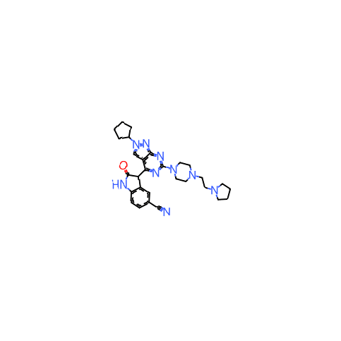 N#Cc1ccc2c(c1)C(c1nc(N3CCN(CCN4CCCC4)CC3)nc3nn(C4CCCC4)cc13)C(=O)N2